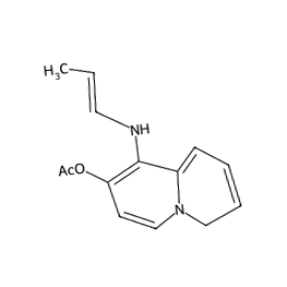 CC=CNC1=C(OC(C)=O)C=CN2CC=CC=C12